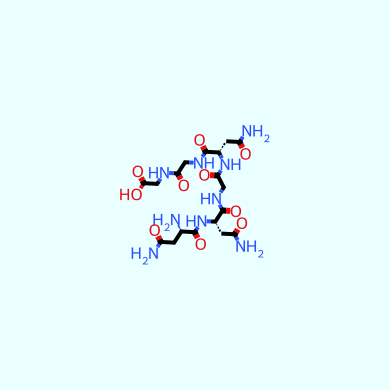 NC(=O)C[C@H](NC(=O)CNC(=O)[C@H](CC(N)=O)NC(=O)[C@@H](N)CC(N)=O)C(=O)NCC(=O)NCC(=O)O